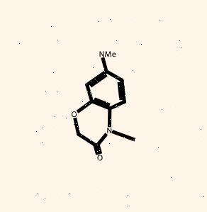 CNc1ccc2c(c1)OCC(=O)N2C